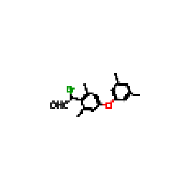 Cc1cc(C)cc(Oc2cc(C)c(C(Br)C=O)c(C)c2)c1